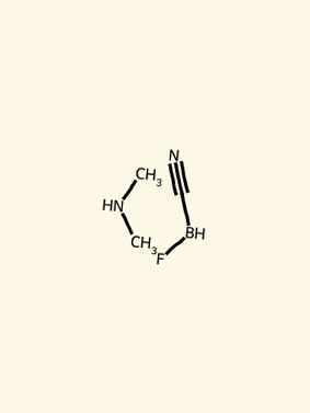 CNC.N#CBF